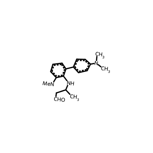 CNc1cccc(-c2ccc(N(C)C)cc2)c1NC(C)CC=O